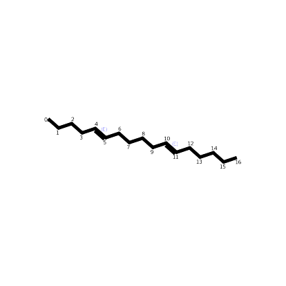 [CH2]CCC/C=C/CCCC/C=C/CCCCC